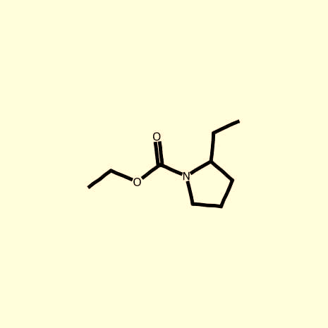 CCOC(=O)N1CCCC1CC